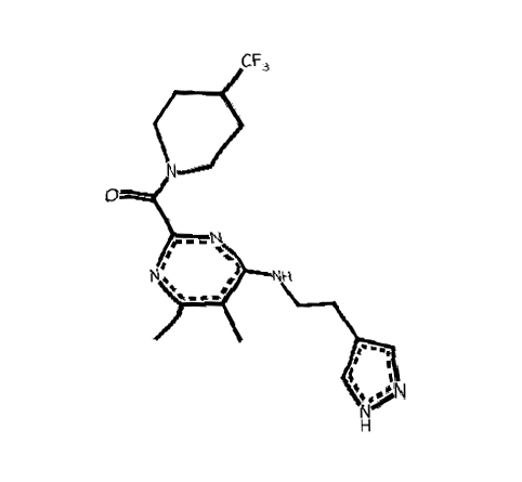 Cc1nc(C(=O)N2CCC(C(F)(F)F)CC2)nc(NCCc2cn[nH]c2)c1C